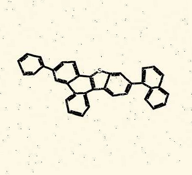 c1ccc(-c2ccc3c(c2)c2ccccc2c2c4ccc(-c5cccc6ccccc56)cc4sc32)cc1